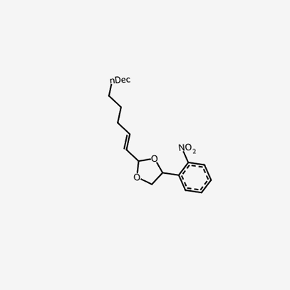 CCCCCCCCCCCCCC=CC1OCC(c2ccccc2[N+](=O)[O-])O1